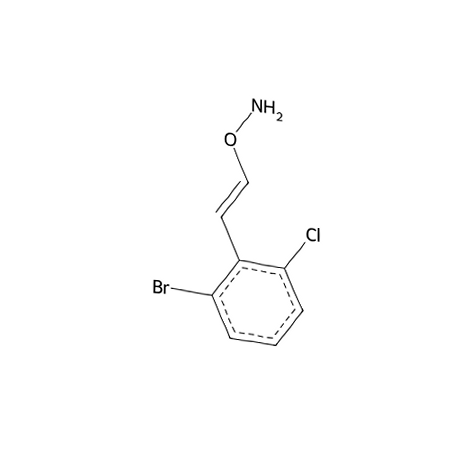 NOC=Cc1c(Cl)cccc1Br